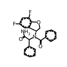 NC(=O)C(c1ccccc1)N(C(=O)c1ccccc1)[C@@H]1COc2c(F)cc(F)cc21